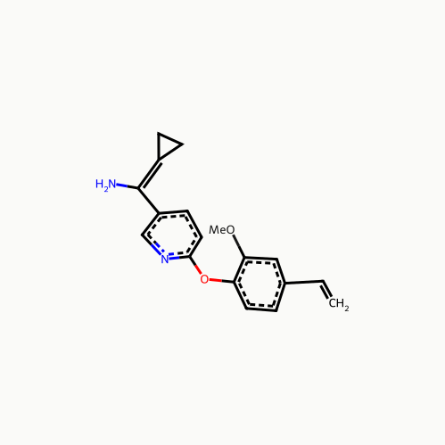 C=Cc1ccc(Oc2ccc(C(N)=C3CC3)cn2)c(OC)c1